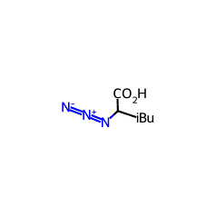 CCC(C)C(N=[N+]=[N-])C(=O)O